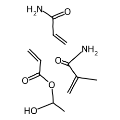 C=C(C)C(N)=O.C=CC(=O)OC(C)O.C=CC(N)=O